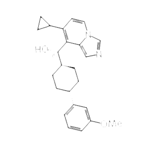 COc1cccc([C@H]2CC[C@H]([C@H](O)c3c(C4CC4)ccn4cncc34)CC2)c1